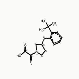 CC(C)(C)c1ccccc1OC1CCN(C(=O)C(=O)O)C1